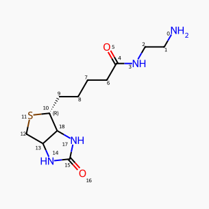 NCCNC(=O)CCCC[C@H]1SCC2NC(=O)NC21